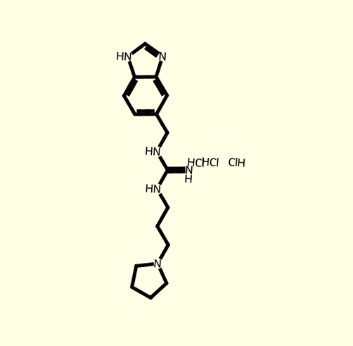 Cl.Cl.Cl.N=C(NCCCN1CCCC1)NCc1ccc2[nH]cnc2c1